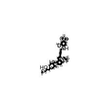 COC[C@@H](O)CN1CCC(Nc2cccc3c2cc(C#CCNc2ccc(S(C)(=O)=O)cc2OC)n3CC(F)(F)F)C(F)C1